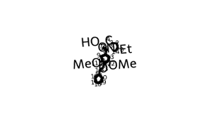 CC[C@H]1C[C@@H](C(=O)O)N(C(=O)c2cc(OC)c(OCc3ccccc3)c(OC)c2)C1